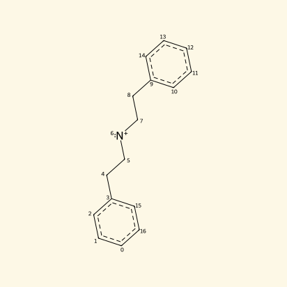 c1ccc(CC[N+]CCc2ccccc2)cc1